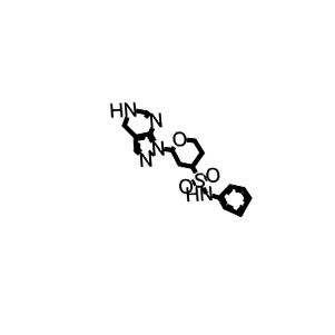 O=S(=O)(Nc1ccccc1)C1CCOC(n2ncc3c2N=CNC3)C1